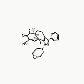 CC1C(=O)C(C#N)=C[C@@]2(C)c3c(c(-c4ccccc4)nn3C3CCOCC3)CC[C@H]12